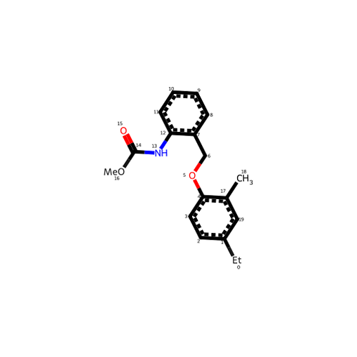 CCc1ccc(OCc2ccccc2NC(=O)OC)c(C)c1